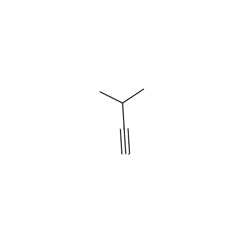 [C]#CC(C)C